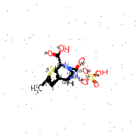 Cc1cc2c(s1)C(C(=O)O)N1C[C@H]2N(OS(=O)(=O)O)C1=O